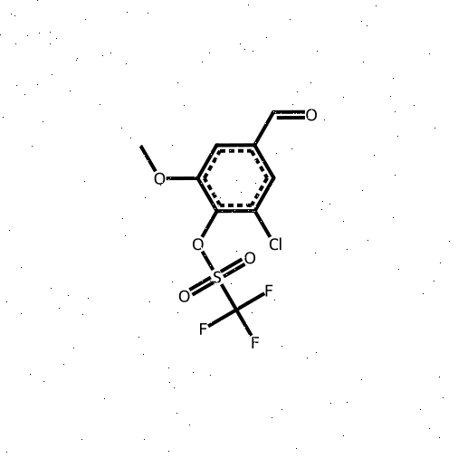 COc1cc(C=O)cc(Cl)c1OS(=O)(=O)C(F)(F)F